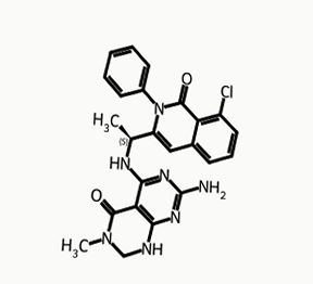 C[C@H](Nc1nc(N)nc2c1C(=O)N(C)CN2)c1cc2cccc(Cl)c2c(=O)n1-c1ccccc1